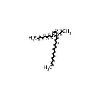 CCCCCCCCCCCCCCC1N(CCC)C=CN1CCCCCCCC